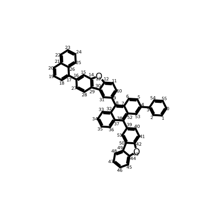 c1ccc(-c2ccc3c(-c4ccc5oc6cc(-c7cccc8ccccc78)ccc6c5c4)c4ccccc4c(-c4ccc5oc6ccccc6c5c4)c3c2)cc1